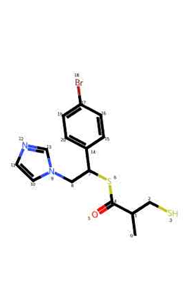 CC(CS)C(=O)SC(Cn1ccnc1)c1ccc(Br)cc1